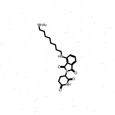 CC(=O)NCCCCCCCCNc1cccc2c1C(=O)N(C1CCC(=O)NC1=O)C2=O